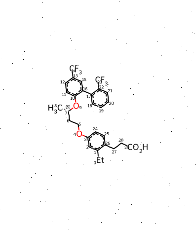 CCc1cc(OCC[C@H](C)Oc2ccc(C(F)(F)F)cc2-c2ccccc2C(F)(F)F)ccc1CCC(=O)O